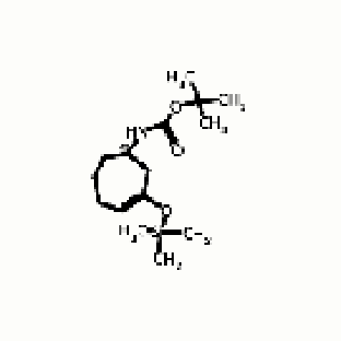 CC(C)(C)OC(=O)N[C@@H]1CCCC=C(O[Si](C)(C)C)C1